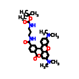 CN(C)c1ccc2c(-c3cc(C(=O)NCCCNC(=O)OC(C)(C)C)ccc3C(=O)[O-])c3ccc(=[N+](C)C)cc-3oc2c1